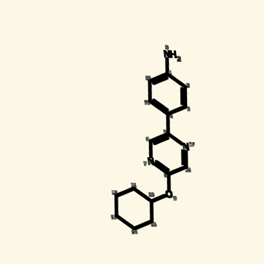 Nc1ccc(-c2cnc(OC3CCCCC3)cn2)cc1